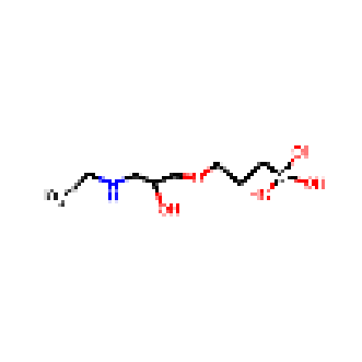 O=S(=O)(O)CNCC(O)COCCC[Si](O)(O)O